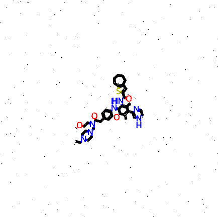 CCN1CCN(CN(CCOC)C(=O)Cc2ccc(NC3C(=O)C(C)=C(C4=CNCC=N4)C(C)=C3NC(=O)c3cc4c(s3)CCCCC4)cc2)CC1